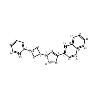 c1ccc(N2CC(n3cc(-c4cnc5ccccc5n4)cn3)C2)nc1